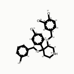 Fc1cccc(COC2(c3ccc(Cl)cc3)CCNCC2OCc2ccc(Cl)c(Cl)c2)c1